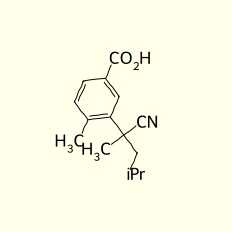 Cc1ccc(C(=O)O)cc1C(C)(C#N)CC(C)C